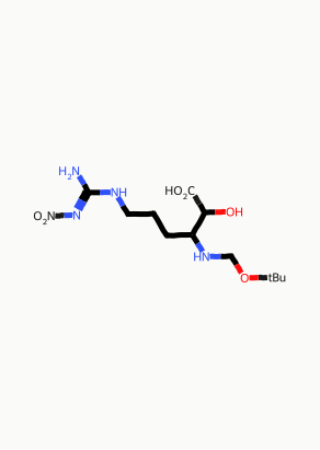 CC(C)(C)OCNC(CCCNC(N)=N[N+](=O)[O-])C(O)C(=O)O